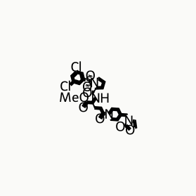 COC(=O)[C@H](CCC(=O)N1CCC(CN2CCOC2=O)CC1)NC(=O)[C@@H]1CCCN1S(=O)(=O)c1cc(Cl)cc(Cl)c1